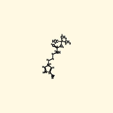 CC(C)(C)OC(=O)NCCCn1cnc(Br)c1